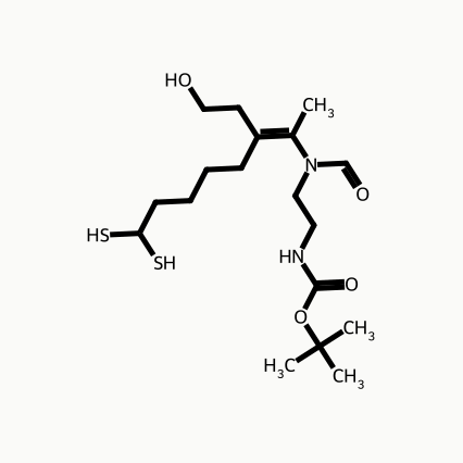 CC(=C(CCO)CCCCC(S)S)N(C=O)CCNC(=O)OC(C)(C)C